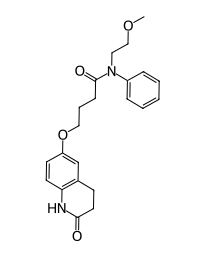 COCCN(C(=O)CCCOc1ccc2c(c1)CCC(=O)N2)c1ccccc1